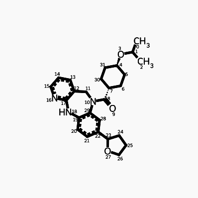 CC(C)O[C@H]1CC[C@H](C(=O)N2Cc3cccnc3Nc3ccc(C4CCCO4)cc32)CC1